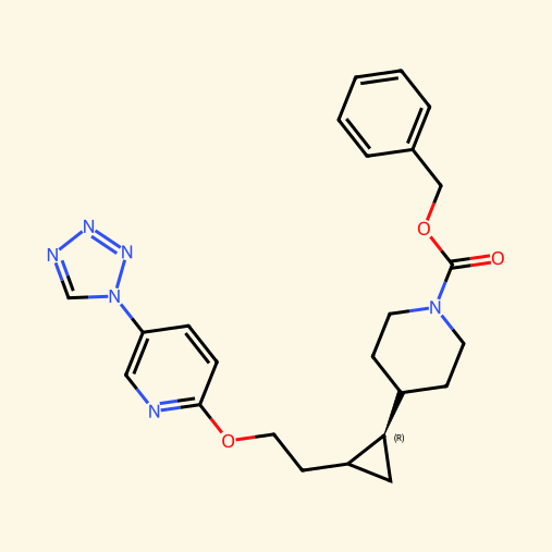 O=C(OCc1ccccc1)N1CCC([C@H]2CC2CCOc2ccc(-n3cnnn3)cn2)CC1